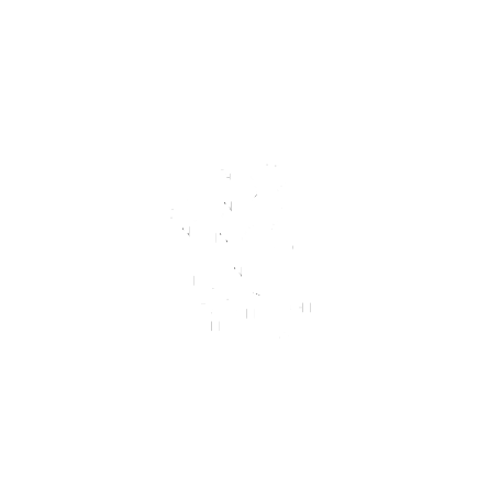 COC(=O)C1=C(CN2CC(F)(F)C(C)(C)[C@@H]2CCC(O)O)NC(c2nccs2)=N[C@H]1c1ccc(F)cc1Br